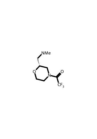 CNC[C@@H]1CN(C(=O)C(F)(F)F)CCO1